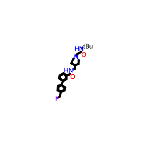 CC(C)(C)NC(=O)CN1CCC(CNC(=O)c2cccc(-c3ccc(CI)cc3)c2)CC1